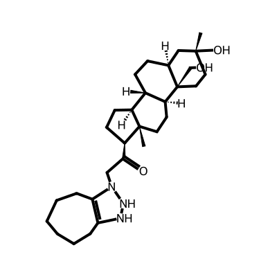 C[C@@]1(O)CC[C@@]2(CO)[C@@H](CC[C@H]3[C@@H]4CC[C@H](C(=O)CN5NNC6=C5CCCCCC6)[C@@]4(C)CC[C@@H]32)C1